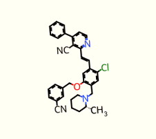 C[C@@H]1CCCCN1Cc1cc(Cl)c(/C=C/c2nccc(-c3ccccc3)c2C#N)cc1OCc1cccc(C#N)c1